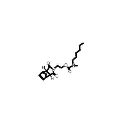 CCCCCCN(C)C(=O)OCCN1C(=O)[C@@H]2C3C=CC(C3)[C@@H]2C1=O